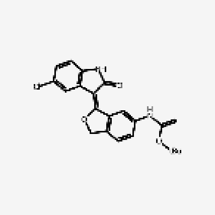 C=C(Nc1ccc2c(c1)/C(=C1\C(=O)Nc3ccc(Cl)cc31)OC2)OC(C)(C)C